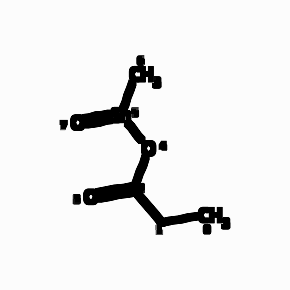 CCC(=O)[O][Sn]([CH3])=[O]